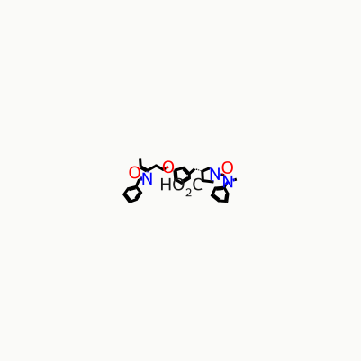 Cc1oc(-c2ccccc2)nc1CCOc1cccc(C[C@@H]2CN(C(=O)N(C)c3ccccc3)C[C@@H]2C(=O)O)c1